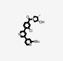 C[C@H]1CN(C(=O)c2ccc(-c3cncc(-c4ccnc(C(C)(C)C)c4)c3)c(Cl)c2)C[C@H]1O